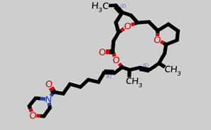 C/C=C1\CC2CC(=O)OC(/C=C/CCCCCC(=O)N3CCOCC3)C(C)/C=C/C(C)CC3CCCC(CC(C1)O2)O3